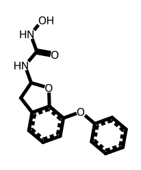 O=C(NO)NC1Cc2cccc(Oc3ccccc3)c2O1